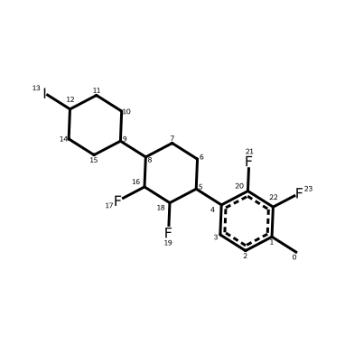 Cc1ccc(C2CCC(C3CCC(I)CC3)C(F)C2F)c(F)c1F